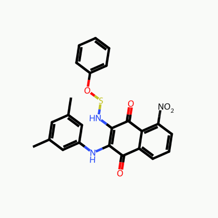 Cc1cc(C)cc(NC2=C(NSOc3ccccc3)C(=O)c3c(cccc3[N+](=O)[O-])C2=O)c1